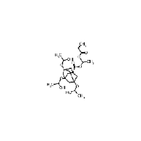 C=CC(=O)OC(C)OC(=O)C12CC3(OC(C)O)CC(OC(C)O)(CC(OC(C)O)(C3)C1)C2